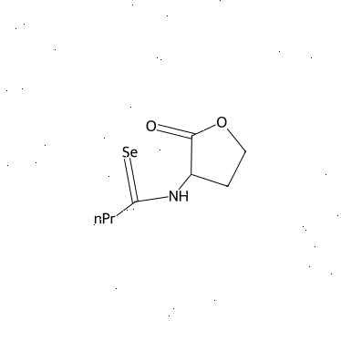 CCCC(=[Se])NC1CCOC1=O